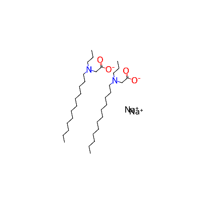 CCCCCCCCCCCCN(CCC)CC(=O)[O-].CCCCCCCCCCCCN(CCC)CC(=O)[O-].[Na+].[Na+]